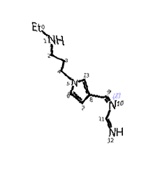 CCNCCCn1ccc(/C=N\C=N)c1